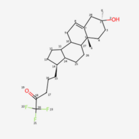 C[C@]1(O)CC[C@@]2(C)C(=CCC3C4CC[C@H](CCCC(=O)C(F)(F)F)C4CCC32)C1